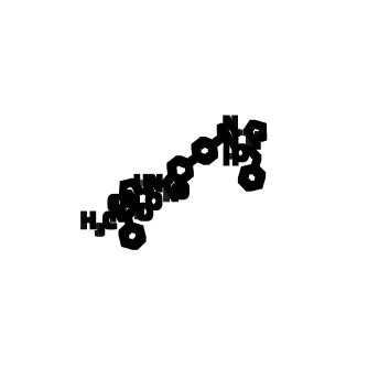 CN(C)[C@@H](C(=O)N1CCC[C@H]1C(=O)NC1=NOC2CC(c3ccc(-c4cnc([C@@H]5CCCN5C(=O)Cc5ccccc5)[nH]4)cc3)=CC=C12)c1ccccc1